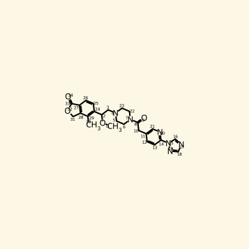 COC(CN1CCN(C(=O)Cc2ccc(-n3cncn3)nc2)CC1)c1ccc2c(c1C)COC2=O